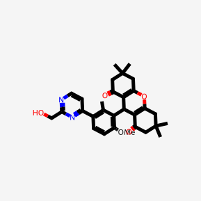 COc1ccc(-c2ccnc(CO)n2)c(C)c1C1C2=C(CC(C)(C)CC2=O)OC2=C1C(=O)CC(C)(C)C2